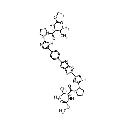 COC(=O)N[C@H](C(=O)N1CCCC1c1nc(-c2nc3sc(-c4ccc(-c5cnc([C@@H]6CCCN6C(=O)[C@@H](NC(=O)OC)C(C)C)[nH]5)cc4)nc3s2)c[nH]1)C(C)C